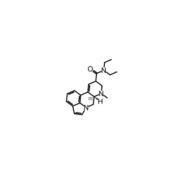 CCN(CC)C(=O)C1C=C2c3cccc4ccn(c34)C[C@H]2N(C)C1